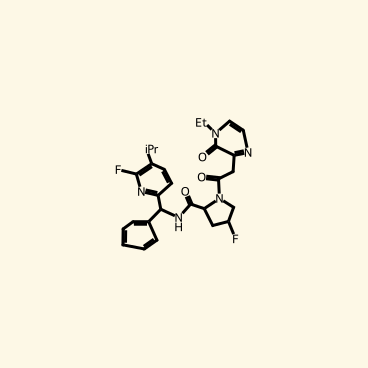 CCn1ccnc(CC(=O)N2CC(F)CC2C(=O)NC(c2ccccc2)c2ccc(C(C)C)c(F)n2)c1=O